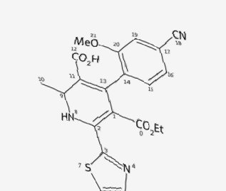 CCOC(=O)C1=C(c2nccs2)NC(C)C(C(=O)O)=C1c1ccc(C#N)cc1OC